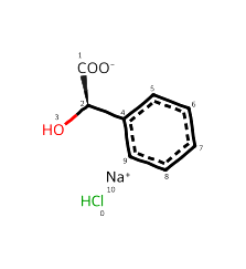 Cl.O=C([O-])[C@H](O)c1ccccc1.[Na+]